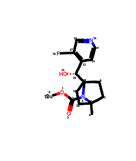 CC(C)(C)OC(=O)N1C2(C)CCC1([C@H](O)c1ccncc1F)CC2